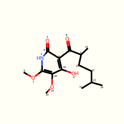 COc1[nH]c(=O)c(C(=O)C(C)CCC(C)C)c(O)c1OC